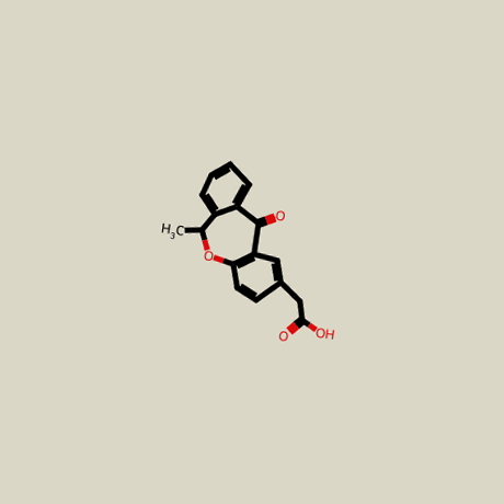 CC1Oc2ccc(CC(=O)O)cc2C(=O)c2ccccc21